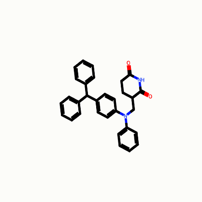 O=C1CCC(CN(c2ccccc2)c2ccc(C(c3ccccc3)c3ccccc3)cc2)C(=O)N1